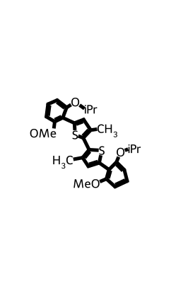 COc1cccc(OC(C)C)c1-c1cc(C)c(-c2sc(-c3c(OC)cccc3OC(C)C)cc2C)s1